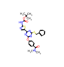 CN(C)C(=O)c1ccc(Oc2nc(SCc3ccccc3)nc(-c3cnc(NC(=O)OC(C)(C)C)s3)n2)cc1